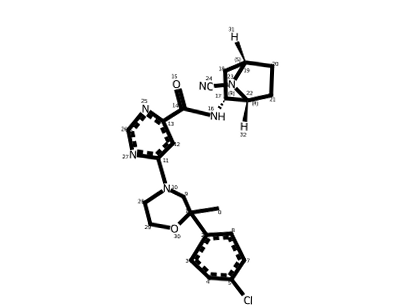 CC1(c2ccc(Cl)cc2)CN(c2cc(C(=O)N[C@@H]3C[C@@H]4CC[C@H]3N4C#N)ncn2)CCO1